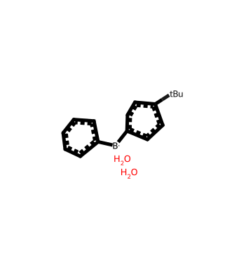 CC(C)(C)c1ccc([B]c2ccccc2)cc1.O.O